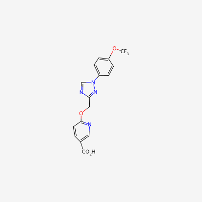 O=C(O)c1ccc(OCc2ncn(-c3ccc(OC(F)(F)F)cc3)n2)nc1